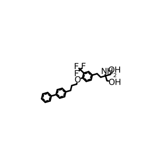 NC(CO)(CO)CCc1ccc(OCCCc2ccc(-c3ccccc3)cc2)c(C(F)(F)F)c1